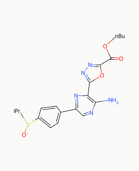 CCCCOC(=O)c1nnc(-c2nc(-c3ccc([S+]([O-])C(C)C)cc3)cnc2N)o1